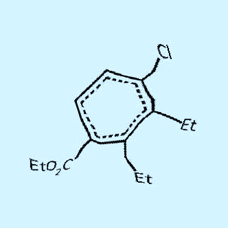 CCOC(=O)c1ccc(Cl)c(CC)c1CC